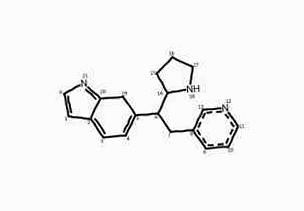 C1=CC2=CC=C(C(Cc3cccnc3)C3CCCN3)CC2=N1